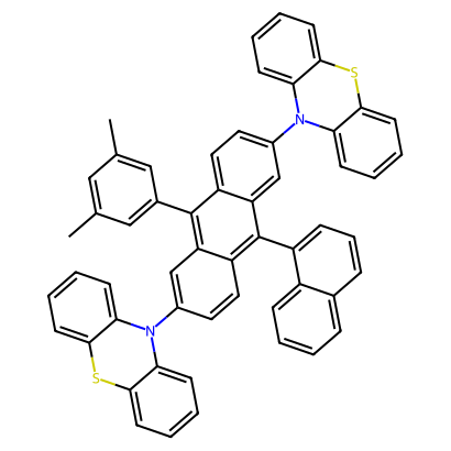 Cc1cc(C)cc(-c2c3cc(N4c5ccccc5Sc5ccccc54)ccc3c(-c3cccc4ccccc34)c3cc(N4c5ccccc5Sc5ccccc54)ccc23)c1